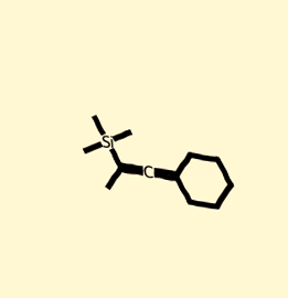 CC(=C=C1CCCCC1)[Si](C)(C)C